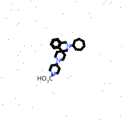 O=C(O)N1CCC(N2CCC3(CC2)CN(C2CCCCCC2)Cc2ccccc23)CC1